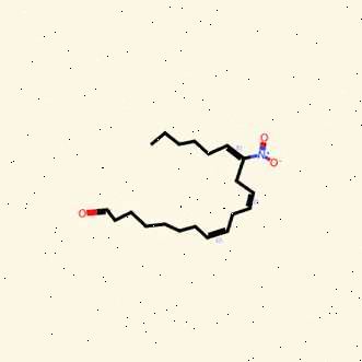 CCCCC/C=C(\C/C=C\C/C=C\CCCCCC[C]=O)[N+](=O)[O-]